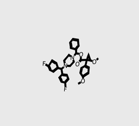 COc1ccc(C2(C(=O)OC(c3ccccc3)N3CCN(C(c4ccc(F)cc4)c4ccc(F)cc4)CC3)CC2OC)cc1